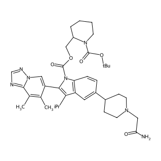 Cc1c(-c2c(C(C)C)c3cc(C4CCN(CC(N)=O)CC4)ccc3n2C(=O)OCC2CCCCN2C(=O)OC(C)(C)C)cn2ncnc2c1C